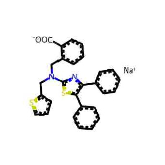 O=C([O-])c1ccccc1CN(Cc1cccs1)c1nc(-c2ccccc2)c(-c2ccccc2)s1.[Na+]